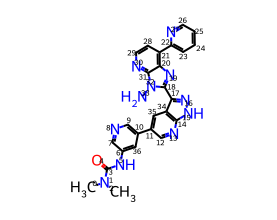 CN(C)C(=O)Nc1cncc(-c2cnc3[nH]nc(-c4nc5c(-c6ccccn6)ccnc5n4N)c3c2)c1